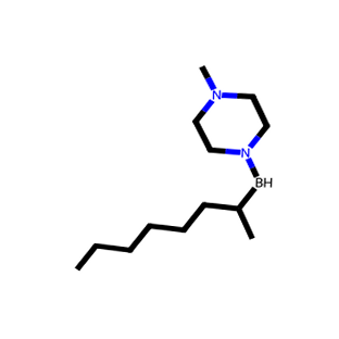 CCCCCCC(C)BN1CCN(C)CC1